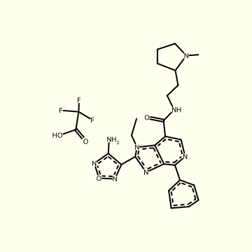 CCn1c(-c2nonc2N)nc2c(-c3ccccc3)ncc(C(=O)NCCC3CCCN3C)c21.O=C(O)C(F)(F)F